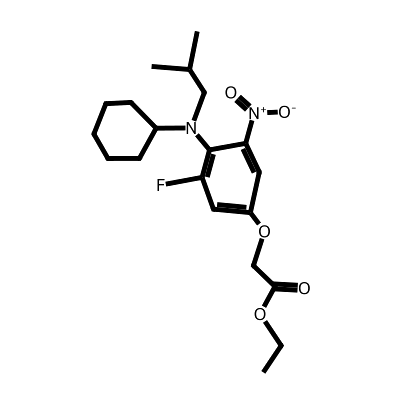 CCOC(=O)COc1cc(F)c(N(CC(C)C)C2CCCCC2)c([N+](=O)[O-])c1